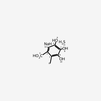 Cc1c(C(=O)O)cc(O)c(O)c1O.S.[NaH]